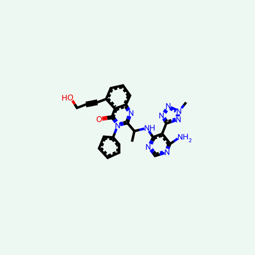 CC(Nc1ncnc(N)c1-c1nnn(C)n1)c1nc2cccc(C#CCO)c2c(=O)n1-c1ccccc1